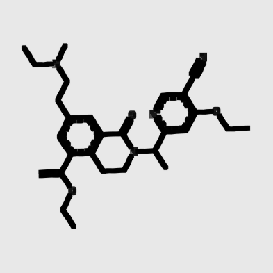 C=C(OCC)c1cc(CCN(C)CC)cc2c1CCN(C(C)c1cc(OCC)c(C#N)cn1)C2=O